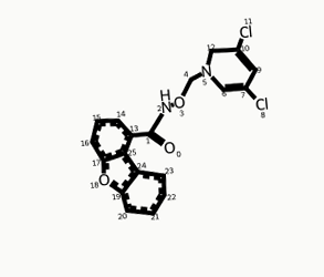 O=C(NOCN1C=C(Cl)C=C(Cl)C1)c1cccc2oc3ccccc3c12